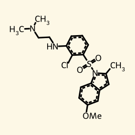 COc1ccc2c(c1)cc(C)n2S(=O)(=O)c1cccc(NCCN(C)C)c1Cl